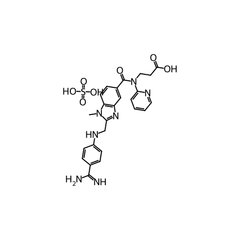 Cn1c(CNc2ccc(C(=N)N)cc2)nc2cc(C(=O)N(CCC(=O)O)c3ccccn3)ccc21.O=S(=O)(O)O